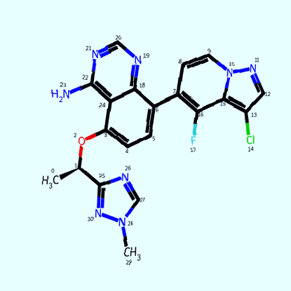 C[C@@H](Oc1ccc(-c2ccn3ncc(Cl)c3c2F)c2ncnc(N)c12)c1ncn(C)n1